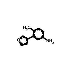 Cc1ccc(N)cc1-c1ccoc1